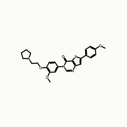 COc1ccc(-c2cc3ncn(-c4ccc(OCCN5CCCC5)c(OC)c4)c(=O)c3s2)cc1